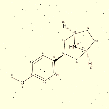 COc1ccc([C@H]2C[C@H]3CC[C@@H](C2)N3)cc1